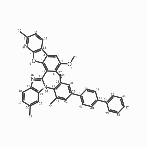 COc1cc2c(oc3nc(C)ccc32)c(-c2nc3ccc(C)cc3n2-c2c(C)cc(-c3ccc(-c4ccccc4)cc3)cc2C)c1C